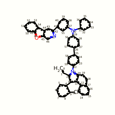 C=Cc1c(-c2ccccc2C)c2c3ccccc3ccc2n1-c1ccc(-c2ccc(N(c3ccccc3)c3cccc(-c4cc5c(cn4)oc4ccccc45)c3)cc2)cc1